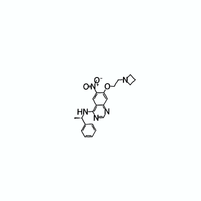 C[C@@H](Nc1ncnc2cc(OCCN3CCC3)c([N+](=O)[O-])cc12)c1ccccc1